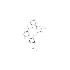 CC(C)C(=O)Nc1cc(F)c(-c2nc(C(=O)Nc3cnccc3[C@H]3C[C@@H](N)[C@](C)(O)[C@@H](C)O3)ccc2F)c(F)c1